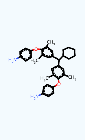 Cc1cc(C(c2cc(C)c(Oc3ccc(N)cc3)c(C)c2)C2CCCCC2)cc(C)c1Oc1ccc(N)cc1